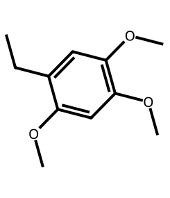 CCc1cc(OC)c(OC)cc1OC